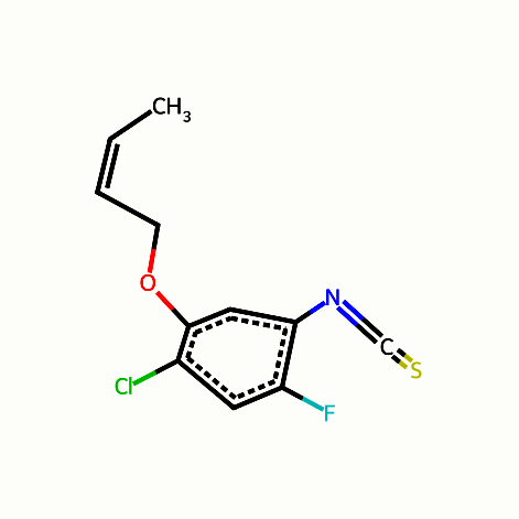 C/C=C\COc1cc(N=C=S)c(F)cc1Cl